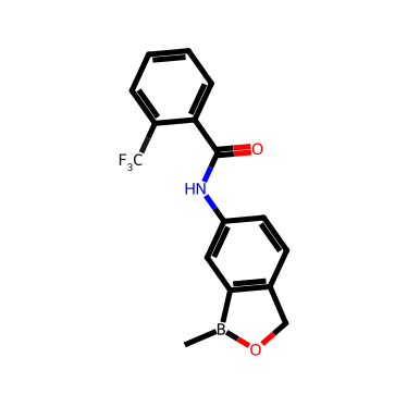 CB1OCc2ccc(NC(=O)c3ccccc3C(F)(F)F)cc21